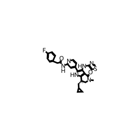 CN1C[C@@H](CC2CC2)c2[nH]c(-c3ccnc(NC(=O)Cc4ccc(F)cc4)c3)c(Nc3cscn3)c2C1=O